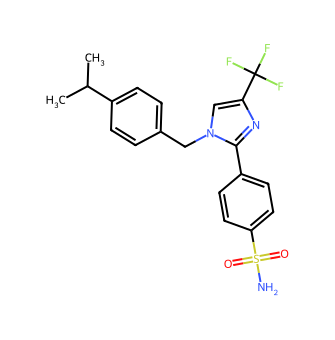 CC(C)c1ccc(Cn2cc(C(F)(F)F)nc2-c2ccc(S(N)(=O)=O)cc2)cc1